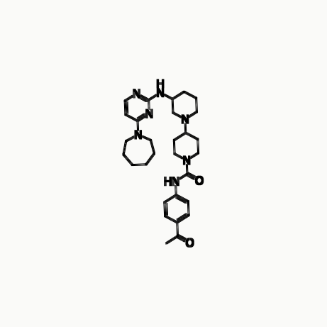 CC(=O)c1ccc(NC(=O)N2CCC(N3CCCC(Nc4nccc(N5CCCCCC5)n4)C3)CC2)cc1